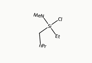 CCCC[Si](Cl)(CC)NC